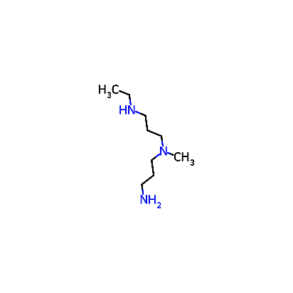 CCNCCCN(C)CCCN